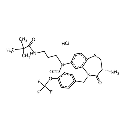 CC(C)(C)C(=O)NCCCN(C=O)c1ccc2c(c1)N(Cc1ccc(OC(F)(F)F)cc1)C(=O)[C@@H](N)CS2.Cl